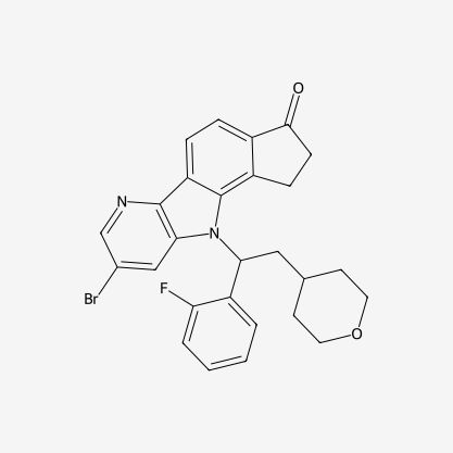 O=C1CCc2c1ccc1c3ncc(Br)cc3n(C(CC3CCOCC3)c3ccccc3F)c21